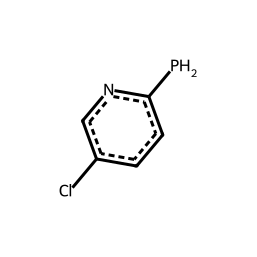 Pc1ccc(Cl)cn1